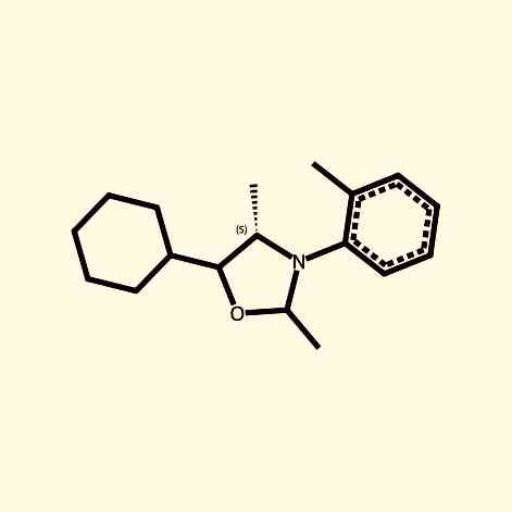 Cc1ccccc1N1C(C)OC(C2CCCCC2)[C@@H]1C